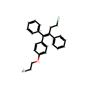 CC(C)CCOc1ccc(/C(=C(/CCCl)c2ccccc2)c2ccccc2)cc1